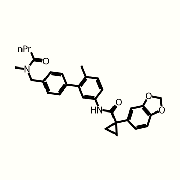 CCCC(=O)N(C)Cc1ccc(-c2cc(NC(=O)C3(c4ccc5c(c4)OCO5)CC3)ccc2C)cc1